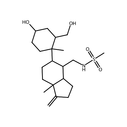 C=C1CCC2C(CNS(C)(=O)=O)C(C3(C)CCC(O)CC3CO)CCC12C